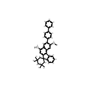 COc1cc2c3c(cc(O)c2cc1-c1ccc(-c2ccccc2)cc1)C1(CC(C)(C)CC(C)(C)C1)c1ccccc1-3